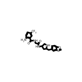 Nc1ccc(C(F)(F)F)cc1C(=O)NCC(=O)NC1CNC(Cc2ccc3ocnc3c2)C1